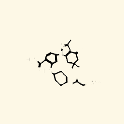 COCC(=O)OC1CCC(Nc2cc(-n3nc(C)c4c3CC(C)(C)CC4=O)ccc2C(N)=O)CC1